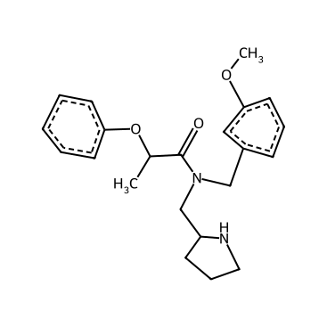 COc1cccc(CN(CC2CCCN2)C(=O)C(C)Oc2ccccc2)c1